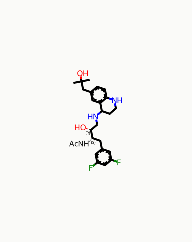 CC(=O)N[C@@H](Cc1cc(F)cc(F)c1)[C@H](O)CNC1CCNc2ccc(CC(C)(C)O)cc21